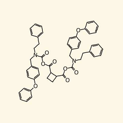 O=C(OC(=O)N(CCc1ccccc1)Cc1ccc(Oc2ccccc2)cc1)C1CCC1C(=O)OC(=O)N(CCc1ccccc1)Cc1ccc(Oc2ccccc2)cc1